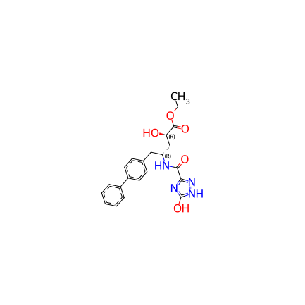 CCOC(=O)[C@H](O)C[C@@H](Cc1ccc(-c2ccccc2)cc1)NC(=O)c1n[nH]c(O)n1